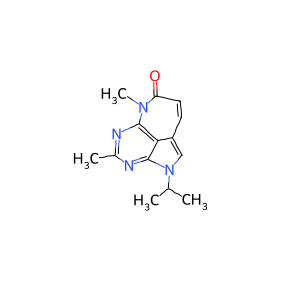 Cc1nc2c3c(cn(C(C)C)c3n1)C=CC(=O)N2C